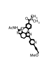 COCC#Cc1ccc(-c2nn(-c3ccc(C(=O)N(C)C)cc3Cl)c3c2CCc2nc(NC(C)=O)sc2-3)cn1